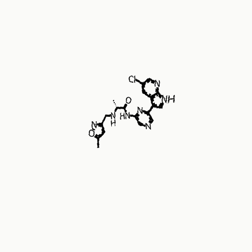 Cc1cc(CN[C@H](C)C(=O)Nc2cncc(-c3c[nH]c4ncc(Cl)cc34)n2)no1